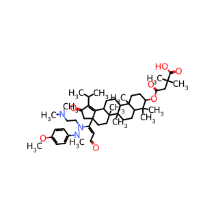 COc1ccc(N(C)N(CCN(C)C)/C(=C\C=O)C23CC[C@]4(C)C(CCC5C6(C)CCC(OC(=O)CC(C)(C)C(=O)O)C(C)(C)C6CCC54C)C2=C(C(C)C)C(=O)C3)cc1